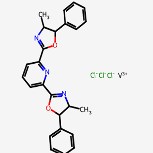 CC1N=C(c2cccc(C3=NC(C)C(c4ccccc4)O3)n2)OC1c1ccccc1.[Cl-].[Cl-].[Cl-].[V+3]